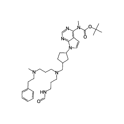 CN(CCCN(CCCNC=O)CC1CCC(n2ccc3c(N(C)C(=O)OC(C)(C)C)ncnc32)C1)CCc1ccccc1